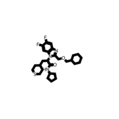 O=C(NC1CCCC1)C(CC1CCSCC1)n1c(COCC2CCCCC2)nc2cc(F)c(F)cc21